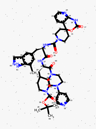 Cc1cc(C[C@@H](NC(=O)N2CCC3(CC2)OC(=O)Nc2ncccc23)C(=O)N[C@@H](CC2CCN(C(=O)OC(C)(C)C)CC2)C(=O)N2CCN(c3ccncc3)CC2)cc2cn[nH]c12